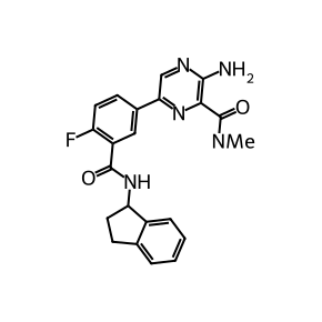 CNC(=O)c1nc(-c2ccc(F)c(C(=O)NC3CCc4ccccc43)c2)cnc1N